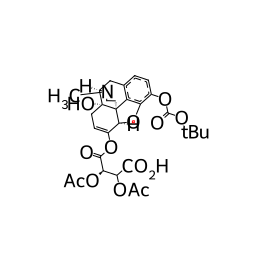 CC(=O)OC(C(=O)O)[C@@H](OC(C)=O)C(=O)OC1=CC[C@@]2(O)[C@H]3Cc4ccc(OC(=O)OC(C)(C)C)c5c4[C@@]2(CCN3C)[C@H]1O5